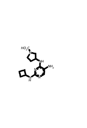 Nc1cnc(NC2CCC2)nc1NC1CCN(C(=O)O)C1